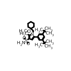 COC1(Cn2c(-c3cc(C(C)(C)C)cc(C(C)(C)C)c3)cc(S(N)(=O)=O)c2C)CCCCC1